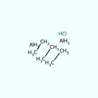 CC.CC.CC.Cl.[AlH3].[AlH3]